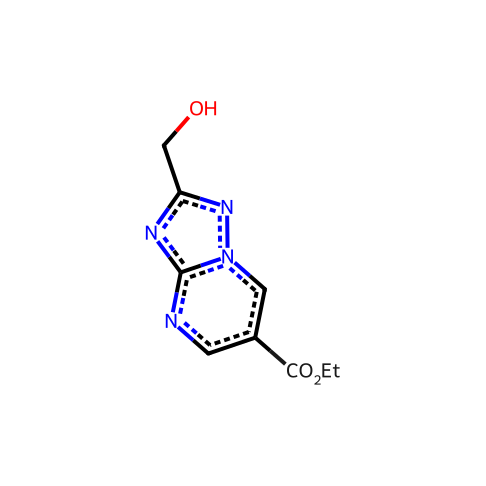 CCOC(=O)c1cnc2nc(CO)nn2c1